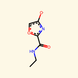 CCNC(=O)c1nc([O])co1